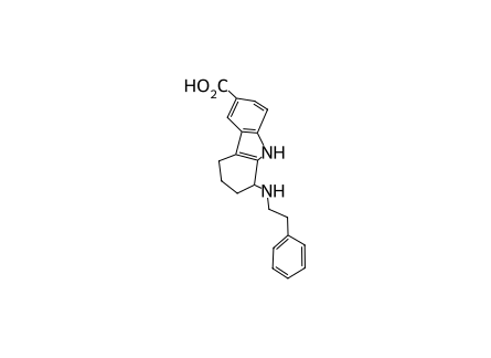 O=C(O)c1ccc2[nH]c3c(c2c1)CCCC3NCCc1ccccc1